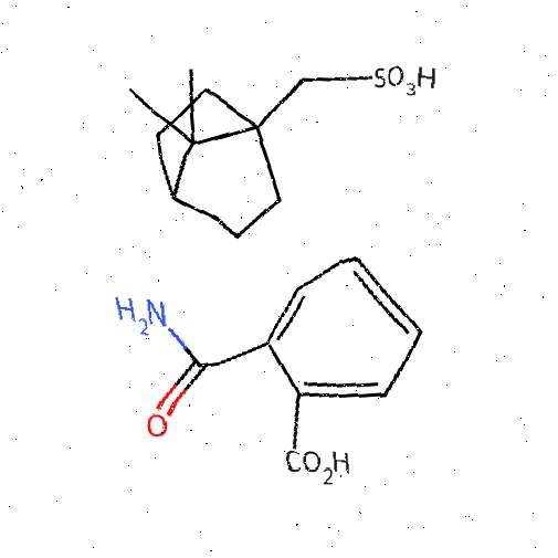 CC1(C)C2CCC1(CS(=O)(=O)O)CC2.NC(=O)c1ccccc1C(=O)O